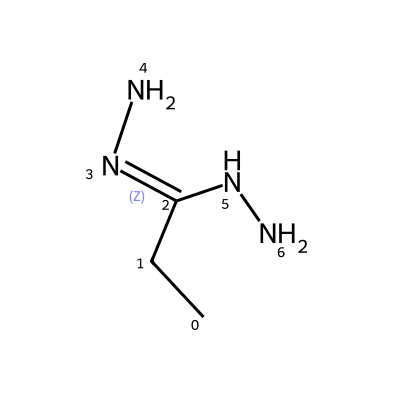 CC/C(=N/N)NN